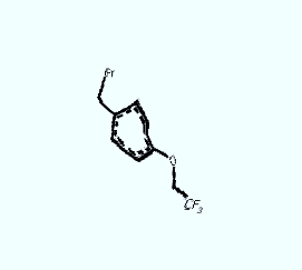 CC(C)Cc1ccc(OCC(F)(F)F)cc1